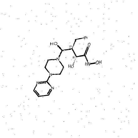 CC(C)C[C@H](C(O)N1CCN(c2ncccn2)CC1)[C@@H](O)C(=O)NO